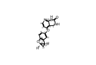 O=C1NCc2c(Oc3ccc4c(c3)[C@H]3C[C@H]3O4)ccnc2N1